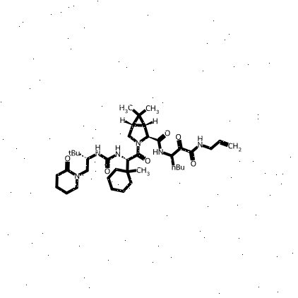 C=CCNC(=O)C(=O)C(CCCC)NC(=O)[C@@H]1[C@@H]2[C@H](CN1C(=O)[C@@H](NC(=O)N[C@H](CN1CCCCC1=O)C(C)(C)C)C1(C)CCCCC1)C2(C)C